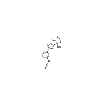 CN1CCC(O)(c2cc(-c3cccc(N=C=S)c3)on2)C1=O